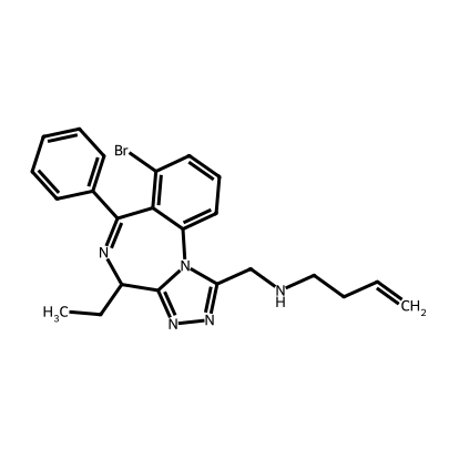 C=CCCNCc1nnc2n1-c1cccc(Br)c1C(c1ccccc1)=NC2CC